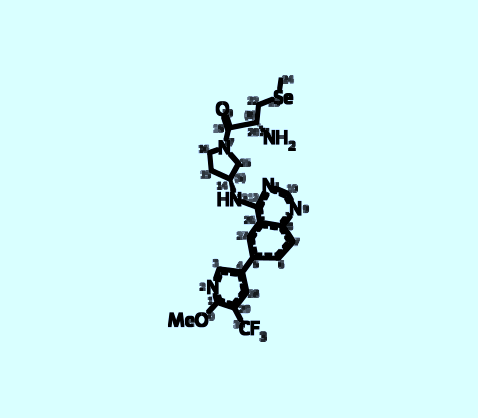 COc1ncc(-c2ccc3ncnc(N[C@H]4CCN(C(=O)[C@@H](N)C[Se]C)C4)c3c2)cc1C(F)(F)F